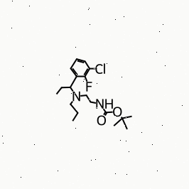 CCCN(CCNC(=O)OC(C)(C)C)C(CC)c1cccc(Cl)c1F